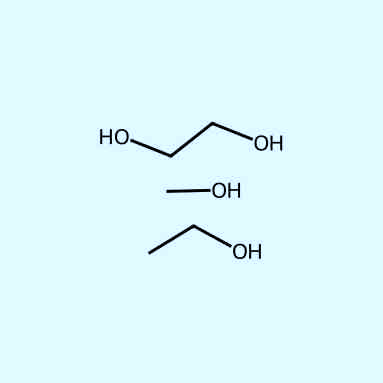 CCO.CO.OCCO